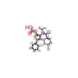 CC(C)N(C(=O)C1=CC[C@@H](C)CC1)c1cc(-c2ccccc2)sc1OC(=O)O